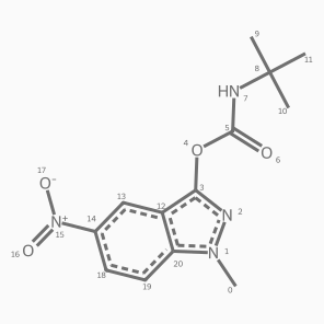 Cn1nc(OC(=O)NC(C)(C)C)c2cc([N+](=O)[O-])ccc21